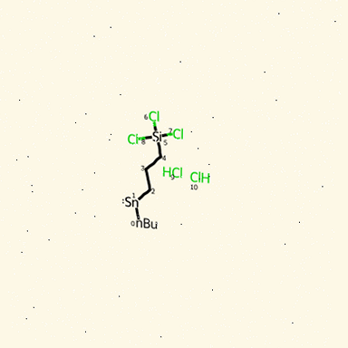 CCC[CH2][Sn][CH2]CC[Si](Cl)(Cl)Cl.Cl.Cl